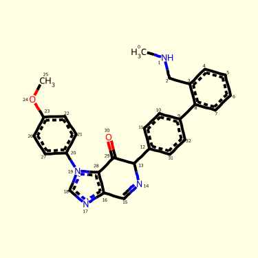 CNCc1ccccc1-c1ccc(C2N=Cc3ncn(-c4ccc(OC)cc4)c3C2=O)cc1